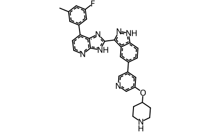 Cc1cc(F)cc(-c2ccnc3[nH]c(-c4n[nH]c5ccc(-c6cncc(OC7CCNCC7)c6)cc45)nc23)c1